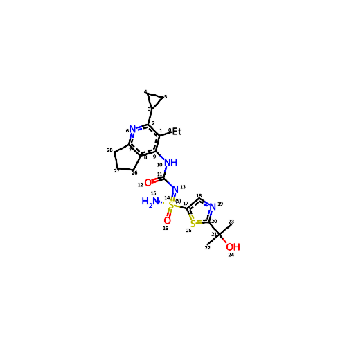 CCc1c(C2CC2)nc2c(c1NC(=O)N=[S@](N)(=O)c1cnc(C(C)(C)O)s1)CCC2